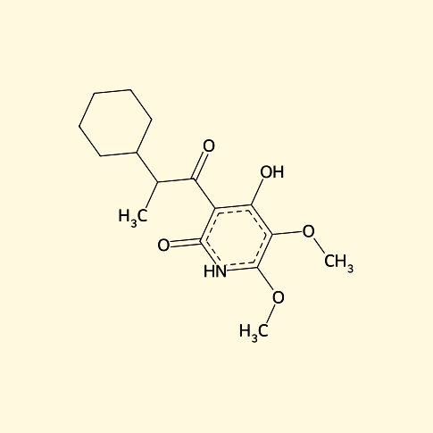 COc1[nH]c(=O)c(C(=O)C(C)C2CCCCC2)c(O)c1OC